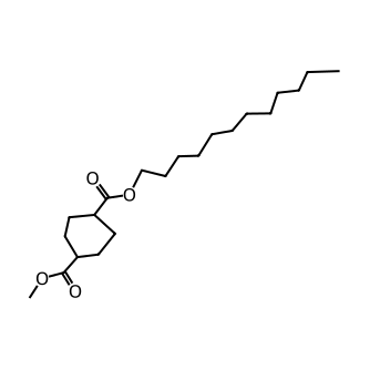 CCCCCCCCCCCCOC(=O)C1CCC(C(=O)OC)CC1